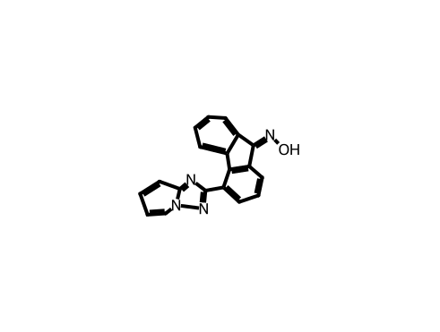 ON=C1c2ccccc2-c2c1cccc2-c1nc2ccccn2n1